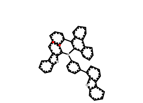 c1ccc(-c2c(N(c3cccc(-c4cccc5c4oc4ccccc45)c3)c3cccc4c3oc3ccccc34)c3ccccc3c3ccccc23)cc1